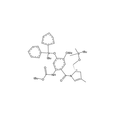 COc1cc(C(=O)N2C=C(C)C[C@H]2CO[Si](C)(C)C(C)(C)C)c(NC(=O)OC(C)(C)C)cc1O[Si](c1ccccc1)(c1ccccc1)C(C)(C)C